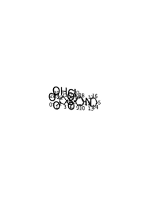 CO[C@@H]1C[C@H](S(=O)(=O)c2ccc(N3CCCCC3)cc2Cl)C[C@H]1C(=O)O